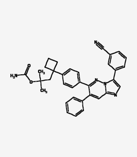 CC(C)(CC1(c2ccc(-c3nn4c(-c5cccc(C#N)c5)cnc4cc3-c3ccccc3)cc2)CCC1)OC(N)=O